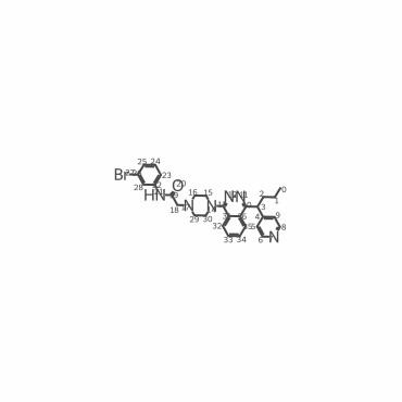 CCCC(c1ccncc1)c1nnc(N2CCN(CC(=O)Nc3cccc(Br)c3)CC2)c2ccccc12